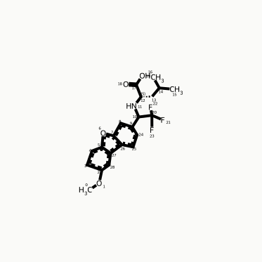 COc1ccc2oc3cc(C(N[C@@H](CC(C)C)C(=O)O)C(F)(F)F)ccc3c2c1